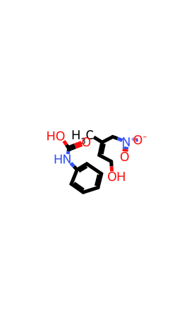 CC(=CCO)C[N+](=O)[O-].O=C(O)Nc1ccccc1